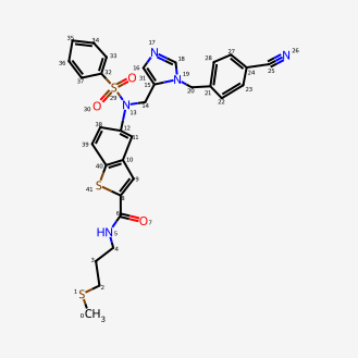 CSCCCNC(=O)c1cc2cc(N(Cc3cncn3Cc3ccc(C#N)cc3)S(=O)(=O)c3ccccc3)ccc2s1